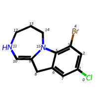 Clc1cc(Br)c2c(c1)CC1=CNCCCN12